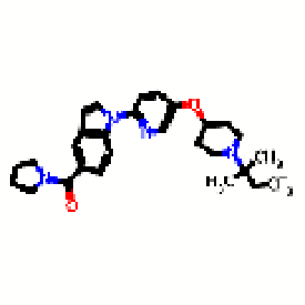 CC(C)(CC(F)(F)F)N1CCC(Oc2ccc(-n3ccc4cc(C(=O)N5CCCC5)ccc43)nc2)CC1